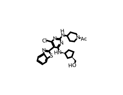 CC(=O)N1CCC(Nc2nc(Cl)c(-c3nc4ccccc4s3)c(N[C@H]3CC[C@@H](CO)C3)n2)CC1